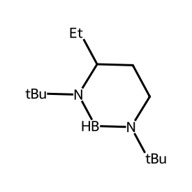 CCC1CCN(C(C)(C)C)BN1C(C)(C)C